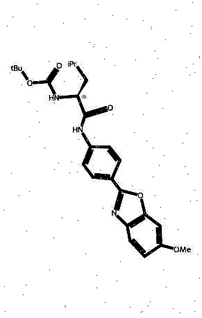 COc1ccc2nc(-c3ccc(NC(=O)[C@H](CC(C)C)NC(=O)OC(C)(C)C)cc3)oc2c1